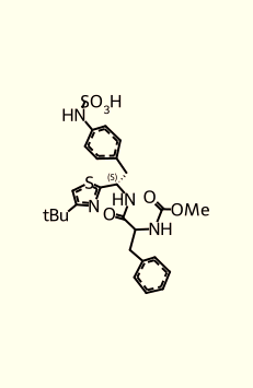 COC(=O)NC(Cc1ccccc1)C(=O)N[C@@H](Cc1ccc(NS(=O)(=O)O)cc1)c1nc(C(C)(C)C)cs1